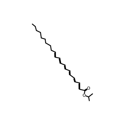 CCCCCCCCC/C=C/C=C/C=C/C=C/C=C/C=C/C(=O)OC(C)C